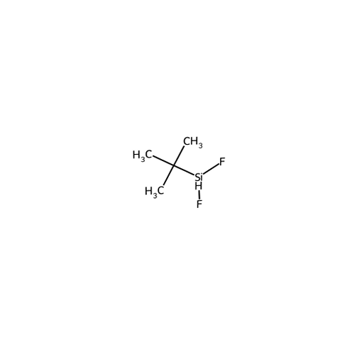 CC(C)(C)[SiH](F)F